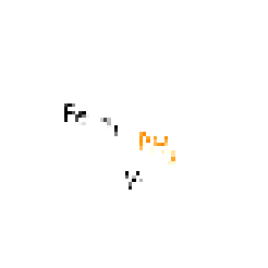 P.[Fe].[Ti].[V]